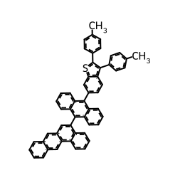 Cc1ccc(-c2sc3cc(-c4c5ccccc5c(-c5cc6cc7ccccc7cc6c6ccccc56)c5ccccc45)ccc3c2-c2ccc(C)cc2)cc1